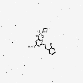 COc1cc(NS(=O)(=O)N2CCC2)nc(SCc2ccccc2F)n1